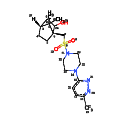 CC1(C)[C@@H]2CC[C@@]1(CS(=O)(=O)N1CCN(c3ccc(C(F)(F)F)nn3)CC1)C(O)C2